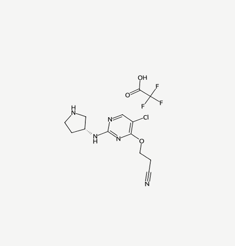 N#CCCOc1nc(N[C@@H]2CCNC2)ncc1Cl.O=C(O)C(F)(F)F